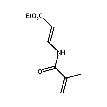 C=C(C)C(=O)NC=CC(=O)OCC